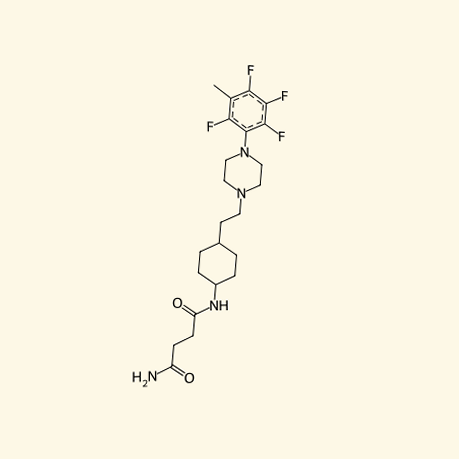 Cc1c(F)c(F)c(F)c(N2CCN(CCC3CCC(NC(=O)CCC(N)=O)CC3)CC2)c1F